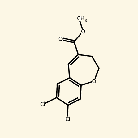 COC(=O)C1=Cc2cc(Cl)c(Cl)cc2OCC1